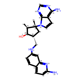 C[C@@H]1[C@H](O)[C@@H](CNc2ccc3ccc(N)nc3c2)C[C@@]1(C)n1ccc2c(N)ncnc21